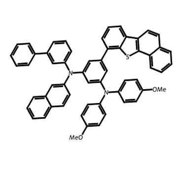 COc1ccc(N(c2ccc(OC)cc2)c2cc(-c3cccc4c3sc3c5ccccc5ccc43)cc(N(c3cccc(-c4ccccc4)c3)c3ccc4ccccc4c3)c2)cc1